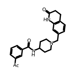 CC(=O)c1cccc(C(=O)NC2CCN(Cc3ccc4c(c3)NC(=O)CC4)CC2)c1